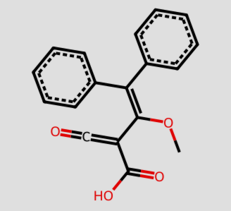 COC(C(=C=O)C(=O)O)=C(c1ccccc1)c1ccccc1